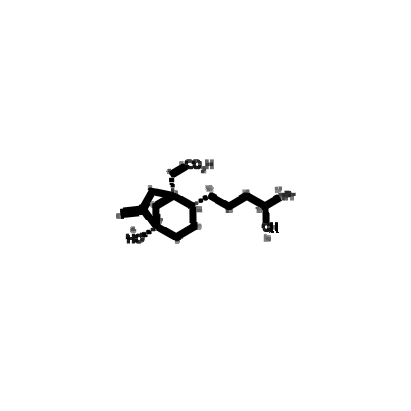 C=C1C[C@]2(CC(=O)O)C[C@@]1(O)CC[C@H]2CCCC(O)CCC